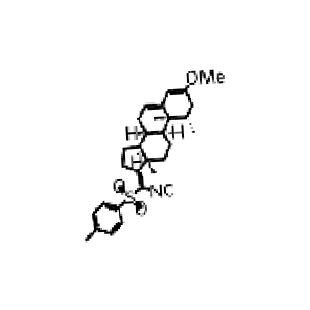 [C-]#[N+]C(=C1CC[C@H]2[C@@H]3CC=C4C=C(OC)C[C@H](C)[C@]4(C)[C@H]3CC[C@]12C)S(=O)(=O)c1ccc(C)cc1